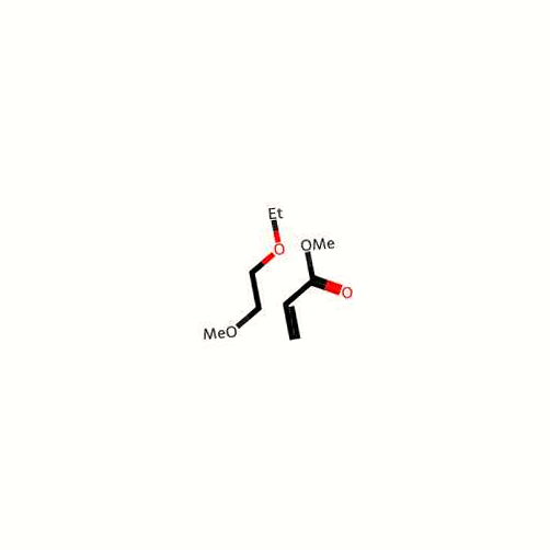 C=CC(=O)OC.CCOCCOC